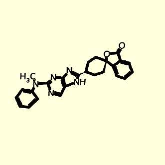 CN(c1ccccc1)c1ncc2[nH]c([C@H]3CC[C@@]4(CC3)OC(=O)c3ccccc34)nc2n1